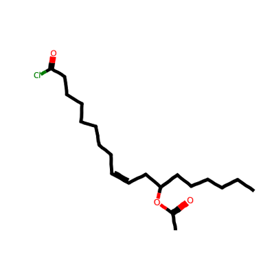 CCCCCCC(C/C=C\CCCCCCCC(=O)Cl)OC(C)=O